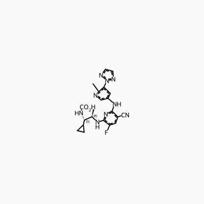 Cc1ncc(Nc2nc(N[C@H](C)[C@@H](NC(=O)O)C3CC3)c(F)cc2C#N)cc1-n1nccn1